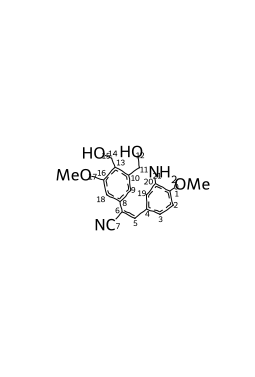 COc1ccc(/C=C(/C#N)c2cc(CO)c(CO)c(OC)c2)cc1N